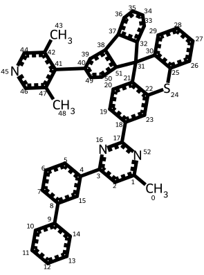 Cc1cc(-c2cccc(-c3ccccc3)c2)nc(-c2ccc3c(c2)Sc2ccccc2C32c3ccccc3-c3cc(-c4c(C)cncc4C)ccc32)n1